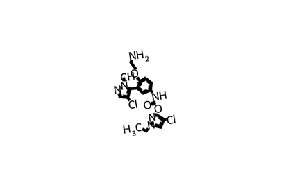 CCn1cc(Cl)c(OC(=O)Nc2ccc(OCCN)c(-c3c(Cl)cnn3C)c2)n1